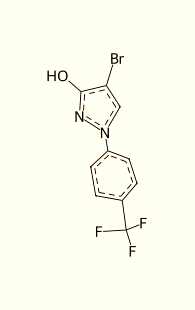 Oc1nn(-c2ccc(C(F)(F)F)cc2)cc1Br